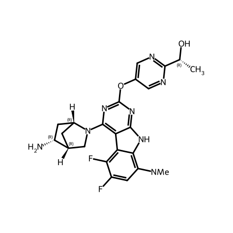 CNc1cc(F)c(F)c2c1[nH]c1nc(Oc3cnc([C@@H](C)O)nc3)nc(N3C[C@H]4C[C@@H]3C[C@H]4N)c12